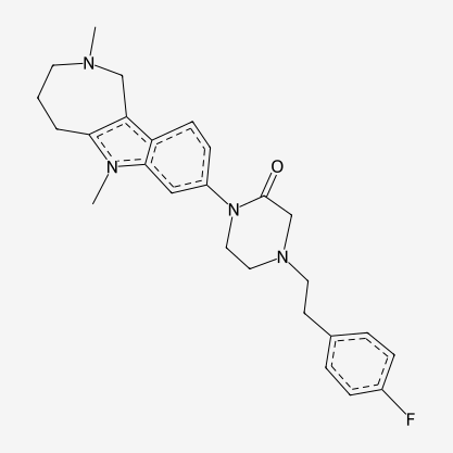 CN1CCCc2c(c3ccc(N4CCN(CCc5ccc(F)cc5)CC4=O)cc3n2C)C1